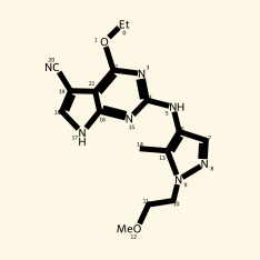 CCOc1nc(Nc2cnn(CCOC)c2C)nc2[nH]cc(C#N)c12